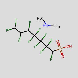 CNC.O=S(=O)(O)C(F)C(F)(F)C(F)(F)C(F)(F)C(F)C(F)C(F)F